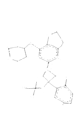 [2H]C([2H])([2H])OC1(c2ccccc2F)CN(c2nc3c(c(NC4CCOCC4)n2)[S@+]([O-])CC3)C1